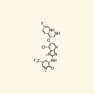 Cn1cc(C(F)(F)F)cc(Nc2nc3ncc(O/C(C=N)=C4\C=CC(F)=CN4)c(Cl)c3n2C)c1=O